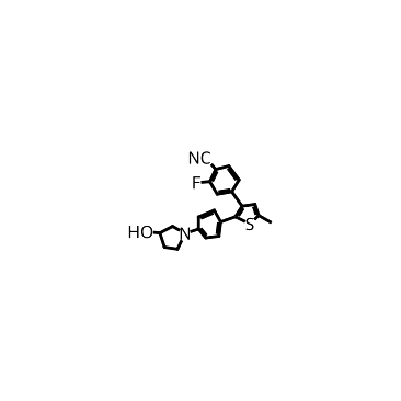 Cc1cc(-c2ccc(C#N)c(F)c2)c(-c2ccc(N3CCC(O)C3)cc2)s1